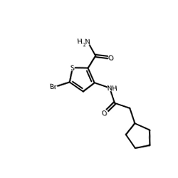 NC(=O)c1sc(Br)cc1NC(=O)CC1CCCC1